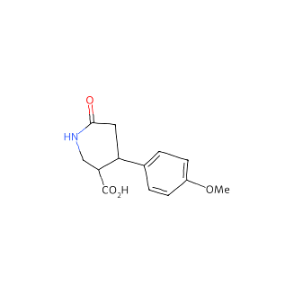 COc1ccc(C2CC(=O)NCC2C(=O)O)cc1